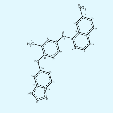 Cc1cc(Nc2ncnc3ccc([N+](=O)[O-])cc23)ccc1Oc1ccn2ccnc2c1